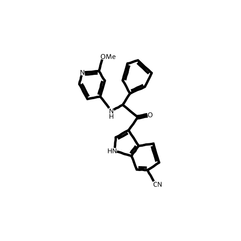 COc1cc(NC(C(=O)c2c[nH]c3cc(C#N)ccc23)c2ccccc2)ccn1